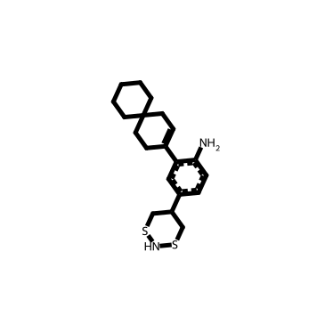 Nc1ccc(C2CSNSC2)cc1C1=CCC2(CCCCC2)CC1